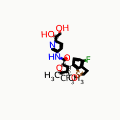 C[C@H]1[C@@H](c2ccc(F)c3c2[S+]([O-])CC3)[C@H](C(=O)Nc2ccc([C@@H](O)CO)nc2)O[C@@]1(C)C(F)(F)F